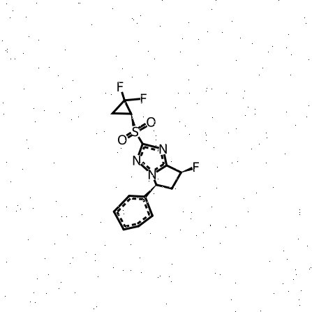 O=S(=O)(c1nc2n(n1)[C@H](c1ccccc1)C[C@@H]2F)[C@H]1CC1(F)F